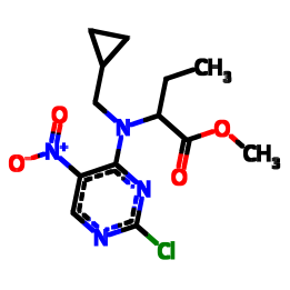 CCC(C(=O)OC)N(CC1CC1)c1nc(Cl)ncc1[N+](=O)[O-]